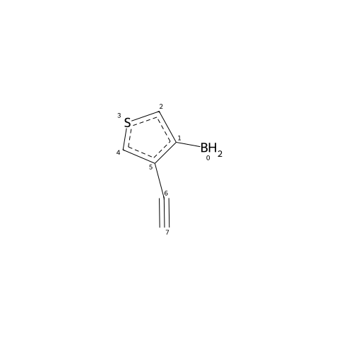 Bc1cscc1C#C